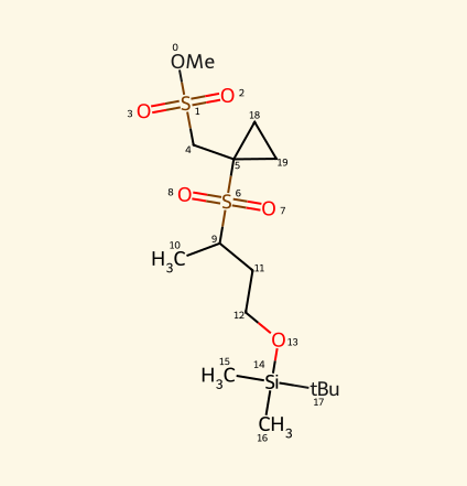 COS(=O)(=O)CC1(S(=O)(=O)C(C)CCO[Si](C)(C)C(C)(C)C)CC1